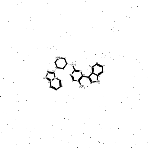 FC(F)(F)c1cnc(N[C@H]2CNC[C@@H](c3nnc4ccccn34)C2)nc1-c1c[nH]c2ccccc12